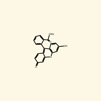 COC(=O)c1ccccc1-c1c2ccc(=O)cc-2oc2cc(O)ccc12